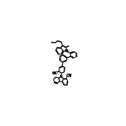 C=C/C=C\c1c(C)n(-c2ccccc2-c2cccc(C3=CC(C#N)C(n4c5c(c6cccc(C#N)c64)C=CCC5)C=C3)c2)c2ccccc12